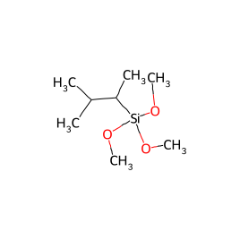 CO[Si](OC)(OC)C(C)C(C)C